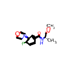 COC[C@H](C)NC(=O)c1ccc(F)c(N2C=COC=C2)c1